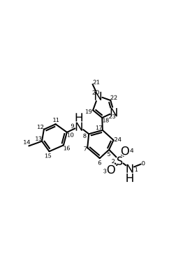 CNS(=O)(=O)c1ccc(Nc2ccc(C)cc2)c(-c2cn(C)cn2)c1